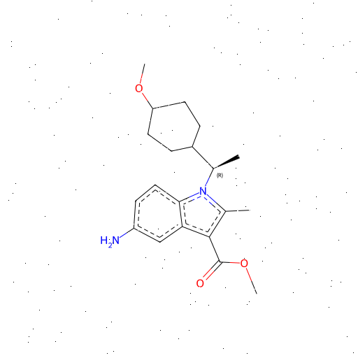 COC(=O)c1c(C)n([C@H](C)C2CCC(OC)CC2)c2ccc(N)cc12